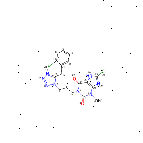 CCCn1c(=O)n(CCCn2nnnc2Cc2ccccc2F)c(=O)c2[nH]c(Cl)nc21